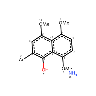 COc1ccc(OC)c2c(O)c(C(C)=O)cc(OC)c12.N